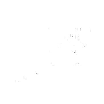 CCN(c1cc2ccc1Nc1nc(ncc1Cl)Nc1cc(c(N3CCC(N4CCN(C)CC4)CC3)cc1OC)OCCCO2)S(C)(=O)=O